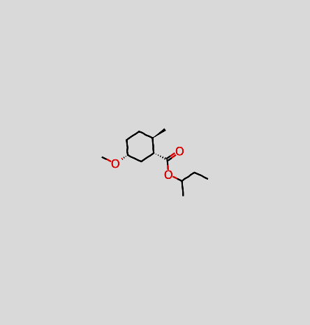 CCC(C)OC(=O)[C@@H]1C[C@H](OC)CC[C@H]1C